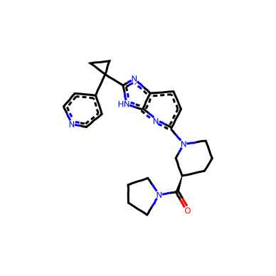 O=C([C@@H]1CCCN(c2ccc3nc(C4(c5ccncc5)CC4)[nH]c3n2)C1)N1CCCC1